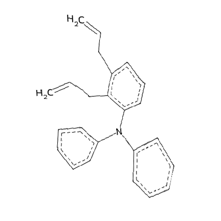 C=CCc1cccc(N(c2ccccc2)c2ccccc2)c1CC=C